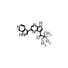 CC(C)(C)C(=O)c1c[nH]c2ncc(-c3c[nH]c4cnccc34)nc12